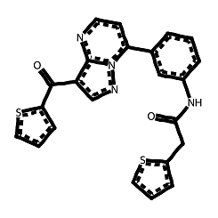 O=C(Cc1cccs1)Nc1cccc(-c2ccnc3c(C(=O)c4cccs4)cnn23)c1